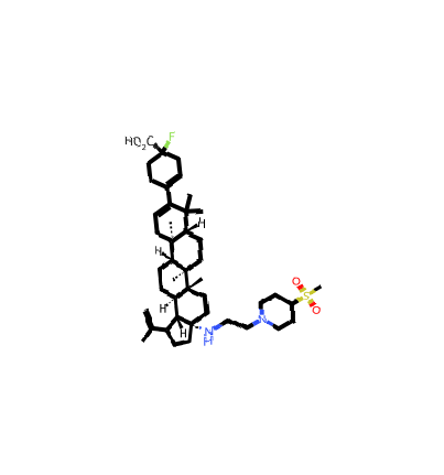 C=C(C)C1CC[C@]2(NCCN3CCC(S(C)(=O)=O)CC3)CC[C@]3(C)[C@H](CC[C@@H]4[C@@]5(C)CC=C(C6=CCC(F)(C(=O)O)CC6)C(C)(C)[C@@H]5CC[C@]43C)[C@@H]12